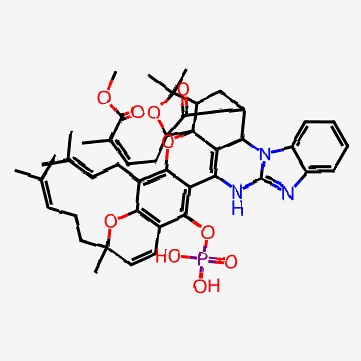 COC(=O)/C(C)=C\CC12OC(C)(C)C3CC(C1=O)C1C4=C(Nc5nc6ccccc6n51)c1c(OP(=O)(O)O)c5c(c(CC=C(C)C)c1OC432)OC(C)(CCC=C(C)C)C=C5